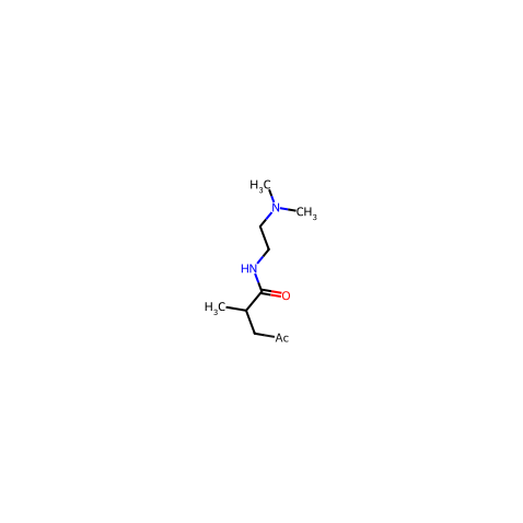 CC(=O)CC(C)C(=O)NCCN(C)C